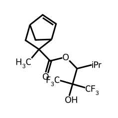 CC(C)C(OC(=O)C1(C)CC2C=CC1C2)C(O)(C(F)(F)F)C(F)(F)F